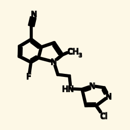 Cc1cc2c(C#N)ccc(F)c2n1CCNc1cc(Cl)ncn1